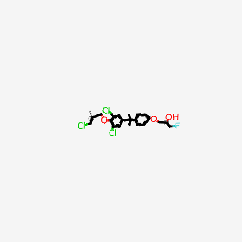 C[C@@H](CCl)COc1c(Cl)cc(C(C)(C)c2ccc(OC[C@@H](O)CF)cc2)cc1Cl